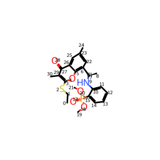 CCSc1oc2c([C@@H](C)Nc3ccccc3P(=O)(OC)OC)cc(C)cc2c(=O)c1C